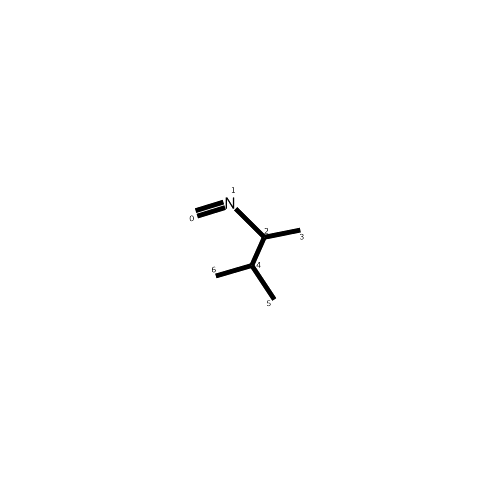 C=NC(C)C(C)C